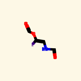 O=CNC=C(I)OC=O